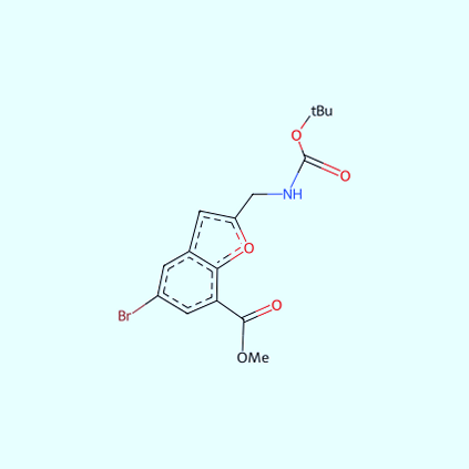 COC(=O)c1cc(Br)cc2cc(CNC(=O)OC(C)(C)C)oc12